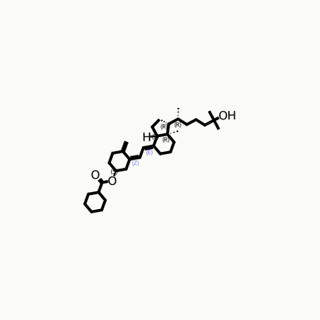 C=C1CC[C@H](OC(=O)C2CCCCC2)C/C1=C/C=C1\CCC[C@]2(C)[C@@H]([C@H](C)CCCC(C)(C)O)CC[C@@H]12